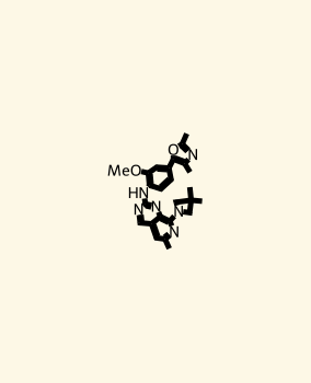 COc1cc(-c2oc(C)nc2C)ccc1Nc1ncc2cc(C)nc(N3CC(C)(C)C3)c2n1